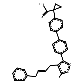 Cc1noc(-c2ccc(-c3ccc(C4(C(=O)O)CC4)cc3)cc2)c1C/C=C/Cc1ccccc1